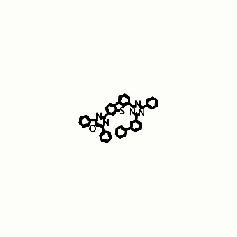 c1ccc(-c2cccc(-c3nc(-c4ccccc4)nc(-c4cccc5c4sc4cc(-c6nc(-c7ccccc7)c7oc8ccccc8c7n6)ccc45)n3)c2)cc1